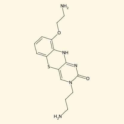 NCCCn1cc2c(nc1=O)Nc1c(OCCN)cccc1S2